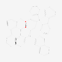 c1ccc(-c2cccc3cccc(-c4ccccc4N(c4cccc(C5(c6ccccc6)c6ccccc6-c6ccccc65)c4)c4ccc5ccccc5c4)c23)cc1